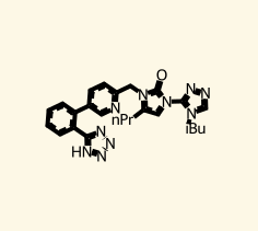 CCCc1cn(-c2nncn2C(C)CC)c(=O)n1Cc1ccc(-c2ccccc2-c2nnn[nH]2)cn1